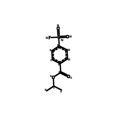 CC(C)OC(=O)c1ccc(S(=O)(=O)F)cc1